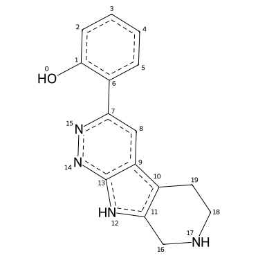 Oc1ccccc1-c1cc2c3c([nH]c2nn1)CNCC3